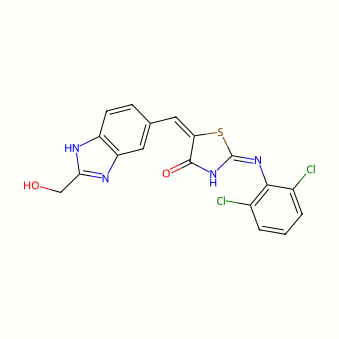 O=C1NC(=Nc2c(Cl)cccc2Cl)SC1=Cc1ccc2[nH]c(CO)nc2c1